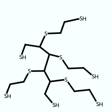 SCCSC(CS)C(SCCS)C(SCCS)C(CS)SCCS